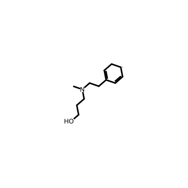 CN(CCCO)CCC1=CC[CH]C=C1